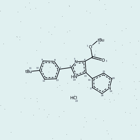 CC(C)(C)OC(=O)c1nc(-c2ccc(C(C)(C)C)cc2)[nH]c1-c1ccncc1.Cl